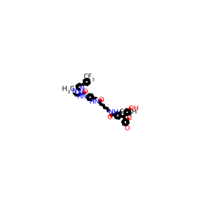 CN1CCCN(C(=O)Nc2ccc(CNC(=O)CCCCCNC(=O)c3ccc(-c4c5ccc(=O)cc-5oc5cc(O)ccc45)c(C(=O)O)c3)cc2)c2nc(-c3cccc(C(F)(F)F)c3)ccc21